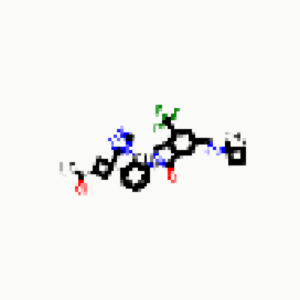 CC(O)[C@H]1C[C@](c2cccc(N3Cc4c(cc(CNC5(C)CCC5)cc4C(F)(F)F)C3=O)c2)(c2nncn2C)C1